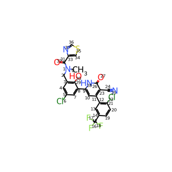 CN(Cc1cc(Cl)cc(-c2cc(-c3cc(C(F)(F)F)ccc3Cl)c(C#N)c(=O)[nH]2)c1O)C(=O)c1cscn1